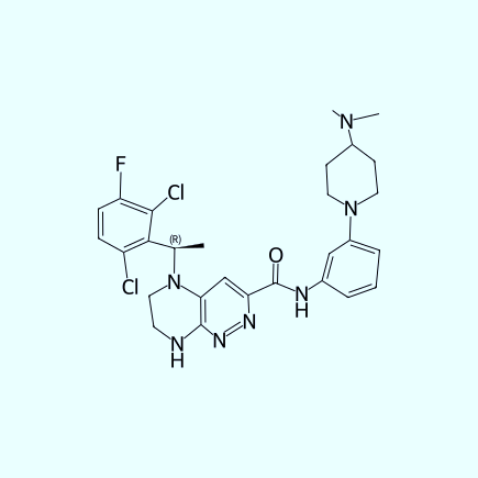 C[C@H](c1c(Cl)ccc(F)c1Cl)N1CCNc2nnc(C(=O)Nc3cccc(N4CCC(N(C)C)CC4)c3)cc21